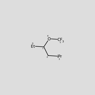 CCC(CC(C)C)OC(F)(F)F